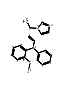 C=CB(c1ccccc1)c1ccccc1OCC.OCn1ccnc1